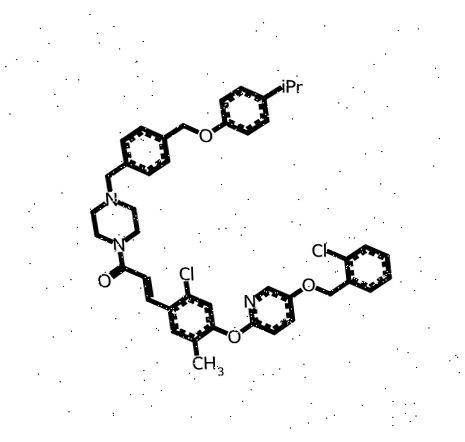 Cc1cc(C=CC(=O)N2CCN(Cc3ccc(COc4ccc(C(C)C)cc4)cc3)CC2)c(Cl)cc1Oc1ccc(OCc2ccccc2Cl)cn1